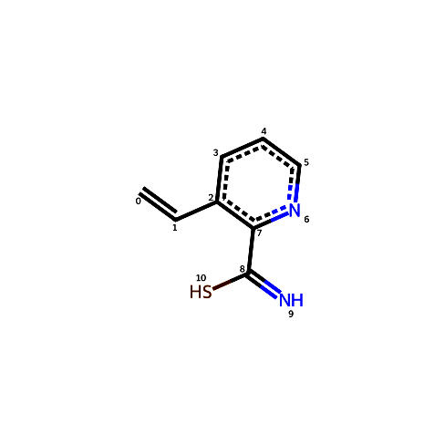 C=Cc1cccnc1C(=N)S